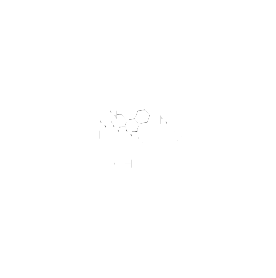 O=c1c2cc(CN3CCC4(CC3)COC4)ccc2c2cnc(NC3CCC3)nc2n1[C@H]1CC[C@H](O)CC1